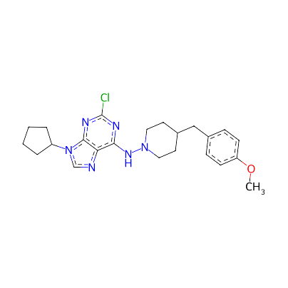 COc1ccc(CC2CCN(Nc3nc(Cl)nc4c3ncn4C3CCCC3)CC2)cc1